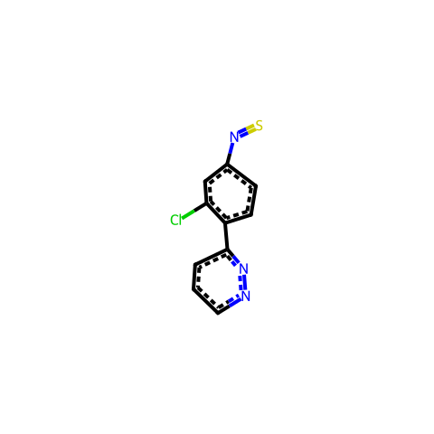 S=Nc1ccc(-c2cccnn2)c(Cl)c1